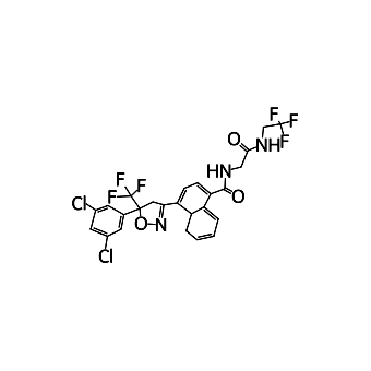 O=C(CNC(=O)C1=CC=C(C2=NOC(c3cc(Cl)cc(Cl)c3)(C(F)(F)F)C2)C2CC=CC=C12)NCC(F)(F)F